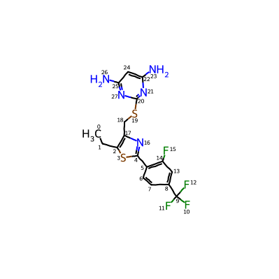 CCc1sc(-c2ccc(C(F)(F)F)cc2F)nc1CSc1nc(N)cc(N)n1